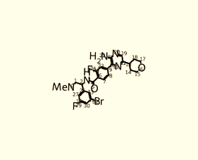 CNCC(NC(=O)c1ccc(-c2nc(C3CCOCC3)cnc2N)cc1F)c1cc(F)cc(Br)c1